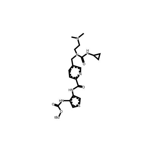 CN(C)CCN(Cc1ccc(C(=O)Nc2cscc2NC(=O)OC(C)(C)C)nc1)C(=O)NC1CC1